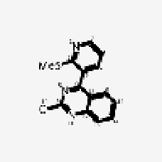 CSc1ncccc1-c1nc(Cl)nc2ccccc12